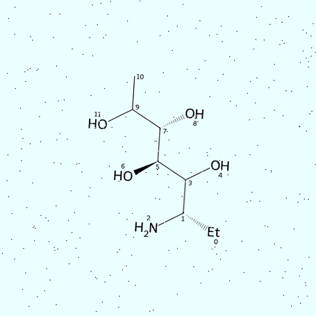 CC[C@H](N)C(O)[C@@H](O)[C@@H](O)C(C)O